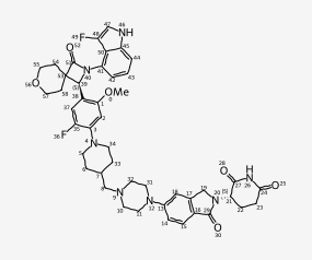 COc1cc(N2CCC(CN3CCN(c4ccc5c(c4)CN([C@H]4CCC(=O)NC4=O)C5=O)CC3)CC2)c(F)cc1[C@@H]1N(c2cccc3[nH]cc(F)c23)C(=O)C12CCOCC2